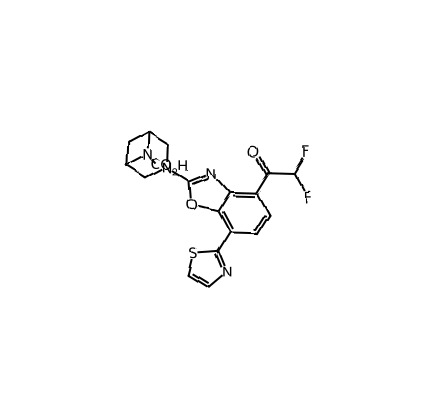 O=C(c1ccc(-c2nccs2)c2oc(N3CC4CC(C3)N4C(=O)O)nc12)C(F)F